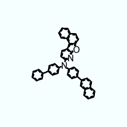 c1ccc(-c2ccc(N(c3ccc(-c4ccc5ccccc5c4)cc3)c3ccc4c(n3)oc3ccc5ccccc5c34)cc2)cc1